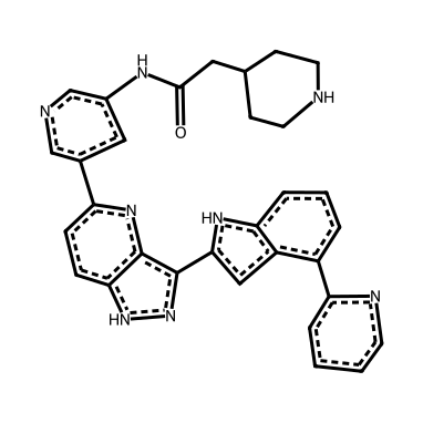 O=C(CC1CCNCC1)Nc1cncc(-c2ccc3[nH]nc(-c4cc5c(-c6ccccn6)cccc5[nH]4)c3n2)c1